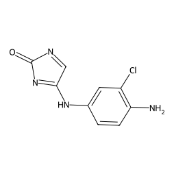 Nc1ccc(NC2=NC(=O)N=C2)cc1Cl